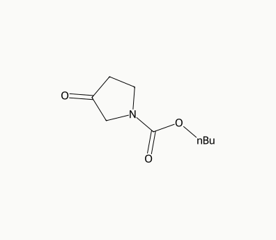 CCCCOC(=O)N1CCC(=O)C1